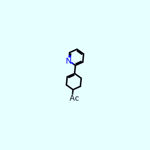 CC(=O)C1CC=C(c2ccccn2)CC1